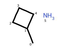 CC1CCC1.N